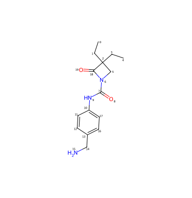 CCC1(CC)CN(C(=O)Nc2ccc(CN)cc2)C1=O